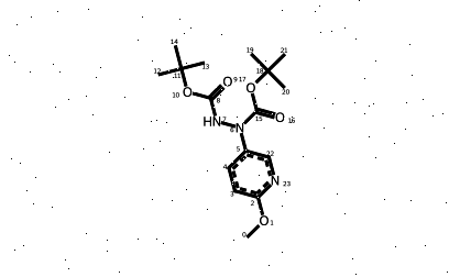 COc1ccc(N(NC(=O)OC(C)(C)C)C(=O)OC(C)(C)C)cn1